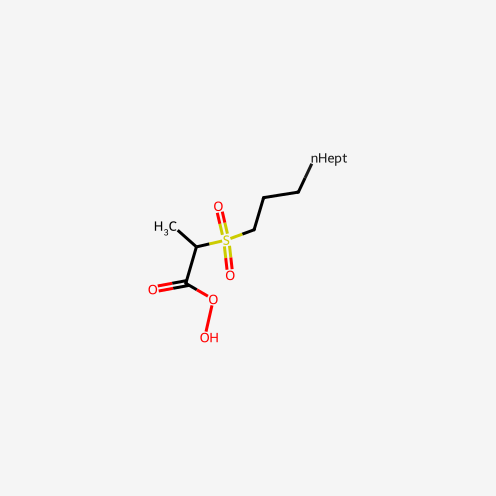 CCCCCCCCCCS(=O)(=O)C(C)C(=O)OO